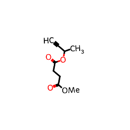 C#CC(C)OC(=O)CCC(=O)OC